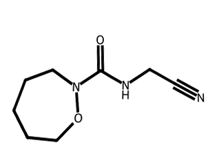 N#CCNC(=O)N1CCCCCO1